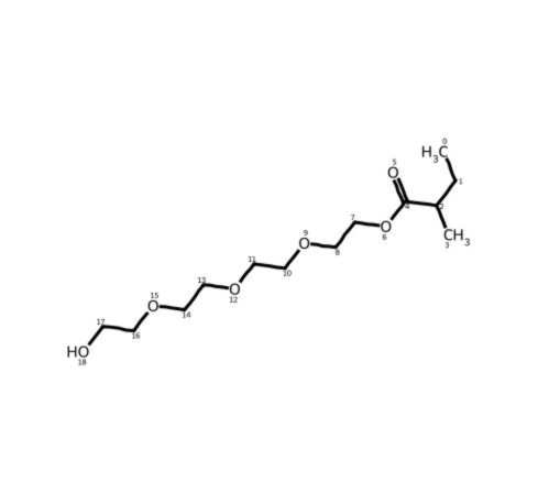 CCC(C)C(=O)OCCOCCOCCOCCO